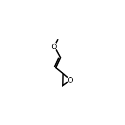 COC=CC1CO1